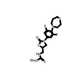 COC(=S)NCC1CN(c2cc(F)c(N3CCCSCC3)c(F)c2)C(=O)O1